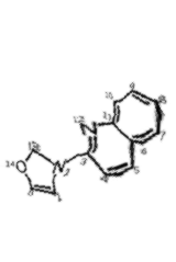 C1=CN(c2ccc3ccccc3n2)CO1